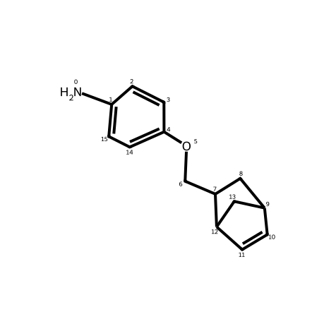 Nc1ccc(OCC2CC3C=CC2C3)cc1